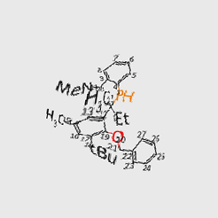 CCC(C)(Pc1ccccc1CNC)c1cc(C)cc(C(C)(C)C)c1OCc1ccccc1